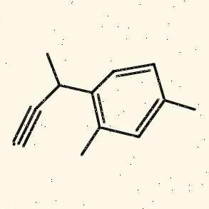 [C]#CC(C)c1ccc(C)cc1C